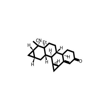 CC[C@]12CC[C@H]3[C@@H]([C@@H]4C[C@@H]4C4=CC(=O)CC[C@@H]43)[C@@H]1C[C@@H]1C[C@@H]1[C@]2(C)C#N